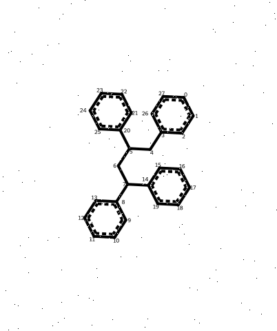 c1ccc(CC(CC(c2ccccc2)c2ccccc2)c2ccccc2)cc1